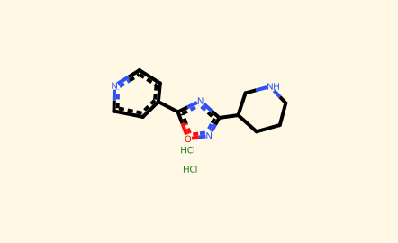 Cl.Cl.c1cc(-c2nc(C3CCCNC3)no2)ccn1